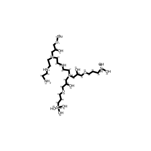 CC(C)(C)OCC(O)CN(CCNCCN)CCNCCN(CC(O)COCCC[SiH](O)O)CC(O)COCCC[Si](O)(O)O